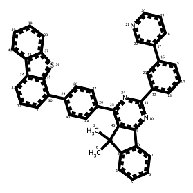 CC1(C)c2ccccc2-c2nc(-c3cccc(-c4cccnc4)c3)nc(-c3ccc(-c4cccc5c4sc4ccccc45)cc3)c21